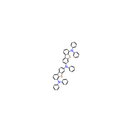 c1ccc(N(c2ccc3c(c2)sc2c(N(c4ccccc4)c4ccccc4)cccc23)c2ccc3c(c2)sc2c(N(c4ccccc4)c4ccccc4)cccc23)cc1